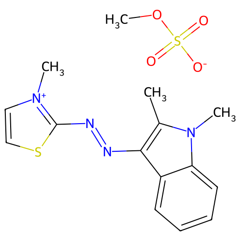 COS(=O)(=O)[O-].Cc1c(N=Nc2scc[n+]2C)c2ccccc2n1C